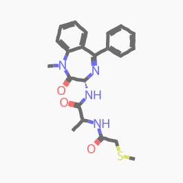 CSCC(=O)NC(C)C(=O)N[C@H]1N=C(c2ccccc2)c2ccccc2N(C)C1=O